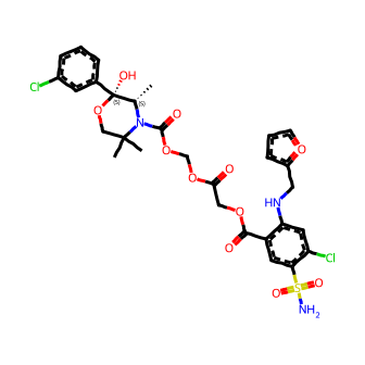 C[C@@H]1N(C(=O)OCOC(=O)COC(=O)c2cc(S(N)(=O)=O)c(Cl)cc2NCc2ccco2)C(C)(C)CO[C@@]1(O)c1cccc(Cl)c1